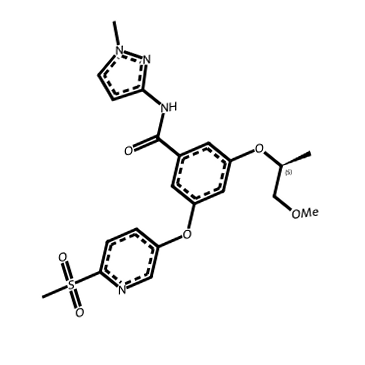 COC[C@H](C)Oc1cc(Oc2ccc(S(C)(=O)=O)nc2)cc(C(=O)Nc2ccn(C)n2)c1